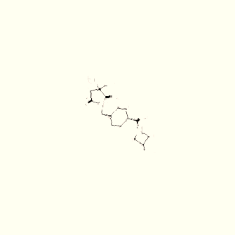 CCC1(C(C)C)CC(=O)N(CC2CCC(C(=O)N3CC(C(C)C)C3)CC2)C1=O